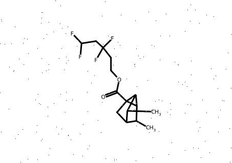 CC1C2CC3(C(=O)OCCC(F)(F)CC(F)F)C1C3C2C